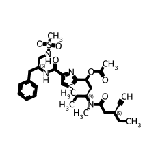 C#C[C@@H](CC)CC(=O)N(C)[C@H](CC(OC(C)=O)c1nc(C(=O)N[C@H](CNS(C)(=O)=O)Cc2ccccc2)cs1)C(C)C